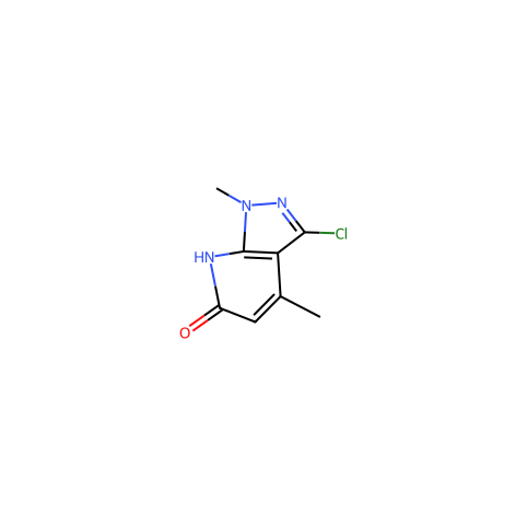 Cc1cc(=O)[nH]c2c1c(Cl)nn2C